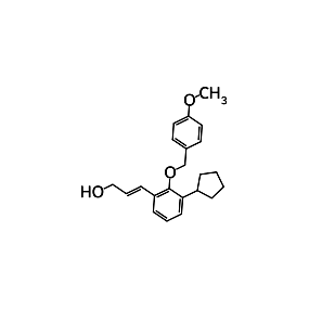 COc1ccc(COc2c(C=CCO)cccc2C2CCCC2)cc1